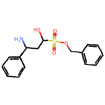 NC(CC(O)S(=O)(=O)OCc1ccccc1)c1ccccc1